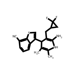 CC1=C(C)C(c2csc3c(C#N)cccc23)C(CC2CC2(F)F)=C(N)N1